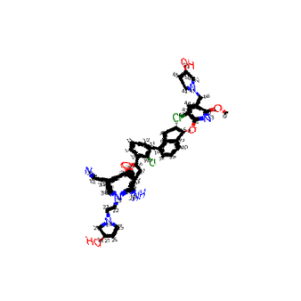 COc1nc(O[C@H]2CCc3c(-c4cccc(-c5cc6c(=N)n(CCN7CC[C@@H](O)C7)cc(C#N)c6o5)c4Cl)cccc32)c(Cl)cc1CN1CC[C@@H](O)C1